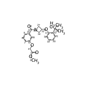 COC(=O)COc1cccc(C(=O)N2CC(Oc3ccccc3C(C)(C)C)C2)c1